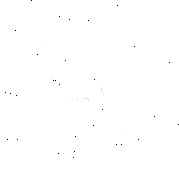 CCCCCC1(F)C(F)=CC=CC1c1ccccc1